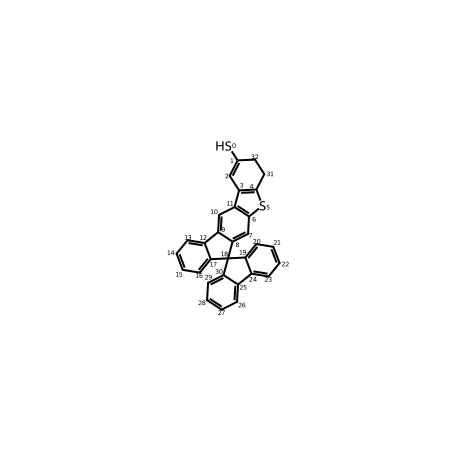 SC1=Cc2c(sc3cc4c(cc23)-c2ccccc2C42c3ccccc3-c3ccccc32)CC1